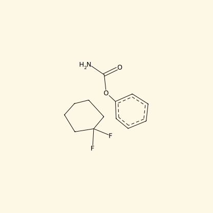 FC1(F)CCCCC1.NC(=O)Oc1ccccc1